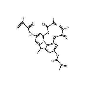 C=C(C)C(=O)Oc1cc(OC(=O)C(=C)C)c2c(c1)C(C)c1cc(OC(=O)C(=C)C)cc(OC(=O)C(=C)C)c1-2